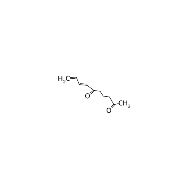 C=CC=CC(=O)CCCC(C)=O